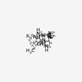 CCCC1(CC)CCC(F)CNC(C(C(N)N)C(O)NC2CNCCC2N2CCN3CCC2CC3)C1